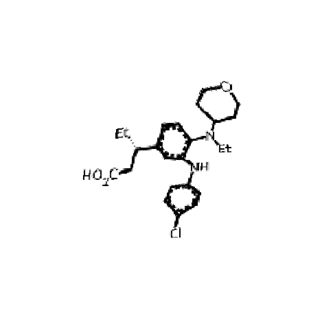 CC[C@@H](CC(=O)O)c1ccc(N(CC)C2CCOCC2)c(Nc2ccc(Cl)cc2)c1